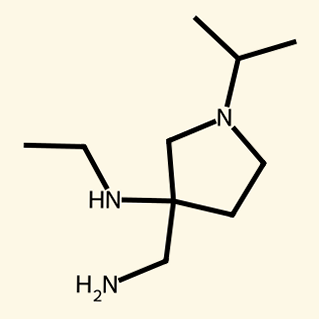 CCNC1(CN)CCN(C(C)C)C1